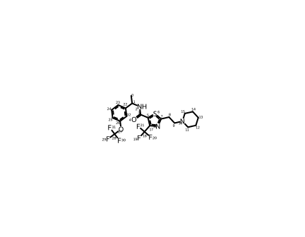 CC(NC(=O)c1sc(CCN2CCCCC2)nc1C(F)(F)F)c1cccc(OC(F)(F)F)c1